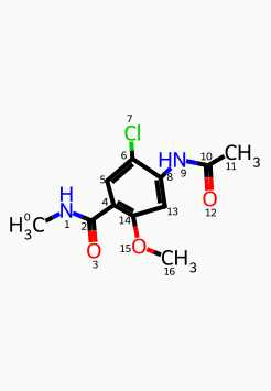 CNC(=O)c1cc(Cl)c(NC(C)=O)cc1OC